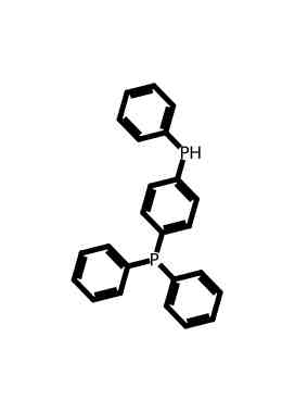 c1ccc(Pc2ccc(P(c3ccccc3)c3ccccc3)cc2)cc1